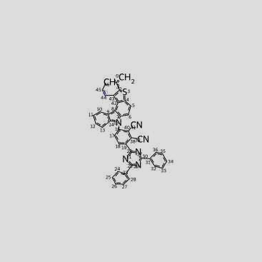 C=Cc1sc2ccc3c(c4ccccc4n3-c3ccc(-c4nc(-c5ccccc5)nc(-c5ccccc5)n4)c(C#N)c3C#N)c2c1/C=C\C